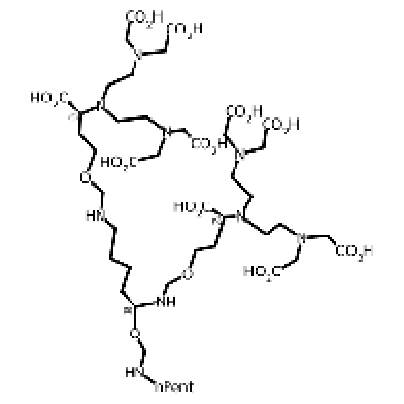 CCCCCNCO[C@@H](CCCCNCOCC[C@@H](C(=O)O)N(CCN(CC(=O)O)CC(=O)O)CCN(CC(=O)O)CC(=O)O)NCOCC[C@@H](C(=O)O)N(CCN(CC(=O)O)CC(=O)O)CCN(CC(=O)O)CC(=O)O